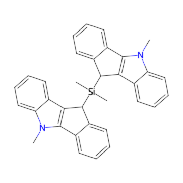 Cn1c2c(c3ccccc31)C([Si](C)(C)C1c3ccccc3-c3c1c1ccccc1n3C)c1ccccc1-2